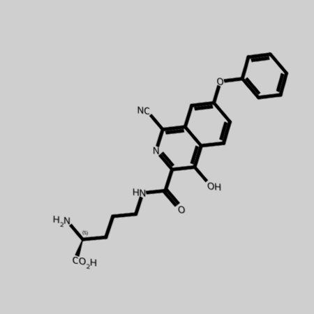 N#Cc1nc(C(=O)NCCC[C@H](N)C(=O)O)c(O)c2ccc(Oc3ccccc3)cc12